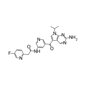 CC(C)n1cc(C(=O)c2cncc(NC(=O)Cc3ccc(F)cn3)c2)c2cnc(N)nc21